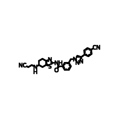 N#CCCNC1CCc2nc(NC(=O)c3cccc(Cn4cc(-c5ccc(C#N)cc5)nn4)c3)sc2C1